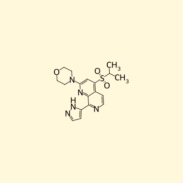 CC(C)S(=O)(=O)c1cc(N2CCOCC2)nc2c(-c3ccn[nH]3)nccc12